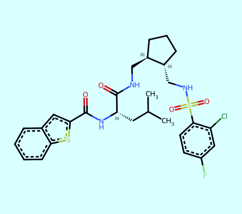 CC(C)C[C@H](NC(=O)c1cc2ccccc2s1)C(=O)NC[C@H]1CCC[C@@H]1CNS(=O)(=O)c1ccc(F)cc1Cl